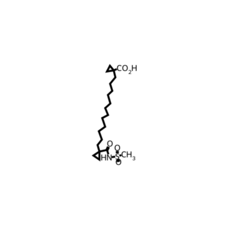 CS(=O)(=O)NC(=O)C1(CCCCCCCCCCCCC2(C(=O)O)CC2)CC1